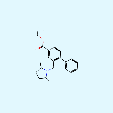 CCOC(=O)c1ccc(-c2ccccc2)c(CN2C(C)CCC2C)c1